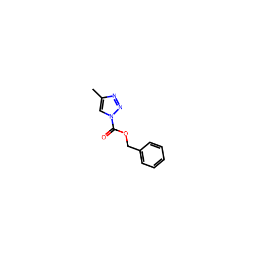 Cc1cn(C(=O)OCc2ccccc2)nn1